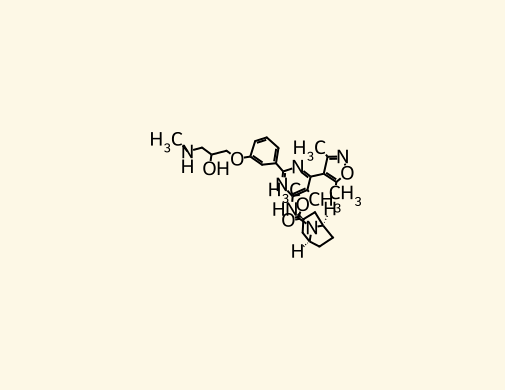 CNCC(O)COc1cccc(-c2nc(N[C@H]3C[C@H]4CC[C@@H](C3)N4C(=O)OC)c(C)c(-c3c(C)noc3C)n2)c1